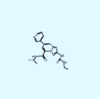 CCNC(=O)Nc1nc2cc(-c3cccnc3)cc(C(=O)NC(C)C)n2n1